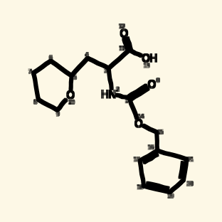 O=C(NC(CC1CCCCO1)C(=O)O)OCc1ccccc1